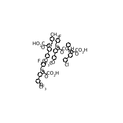 Cc1ccc(Cn2cc(C(=O)C(=O)O)c3cc(-c4ccc(OC(F)(F)F)cc4)ccc32)cc1.O=C(O)C(=O)c1cn(Cc2ccc(F)cc2)c2ccc(-c3ccc(OC(F)(F)F)cc3)cc12.O=C(O)C(=O)c1cn(Cc2ccccc2)c2cc(-c3cccc(Cl)c3)ccc12.O=C(O)C(=O)c1cn(Cc2ccccc2)c2ccc(-c3cccc(OC(F)(F)F)c3)cc12